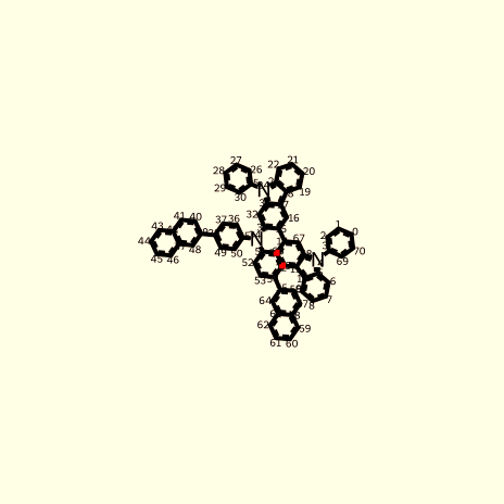 c1ccc(-n2c3ccccc3c3ccc(-c4cc5c6ccccc6n(-c6ccccc6)c5cc4N(c4ccc(-c5ccc6ccccc6c5)cc4)c4ccc(-c5ccc6ccccc6c5)cc4)cc32)cc1